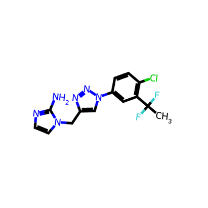 CC(F)(F)c1cc(-n2cc(Cn3ccnc3N)nn2)ccc1Cl